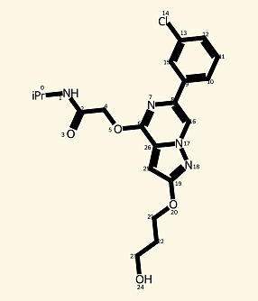 CC(C)NC(=O)COc1nc(-c2cccc(Cl)c2)cn2nc(OCCCO)cc12